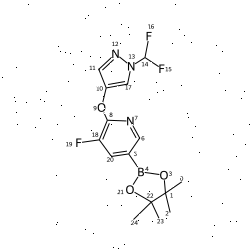 CC1(C)OB(c2cnc(Oc3cnn(C(F)F)c3)c(F)c2)OC1(C)C